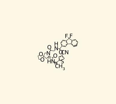 C[C@@H](NC(=O)[C@@H]1CC2(CN1C(=O)CNC(=O)c1ccc3c(c1)-c1c#cccc1C3(F)F)OCCO2)c1cc(C#N)cs1